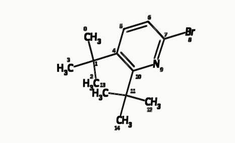 CC(C)(C)c1ccc(Br)nc1C(C)(C)C